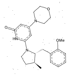 COc1ccccc1C[C@@H]1[C@@H](C)CCN1c1cc(N2CCOCC2)cc(=O)[nH]1